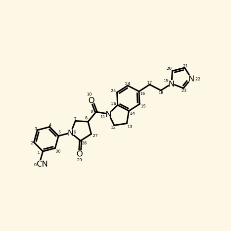 N#Cc1cccc(N2CC(C(=O)N3CCc4cc(CCn5ccnc5)ccc43)CC2=O)c1